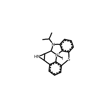 CC(C)N1c2cccc3c2[N+]2(I)c4c(cccc4C4NC4C12)S3